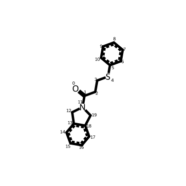 O=C(CCSc1ccccc1)N1Cc2ccccc2C1